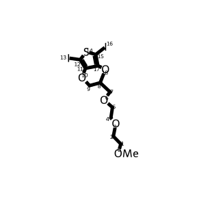 COCCOCCOCC1COc2c(I)sc(I)c2O1